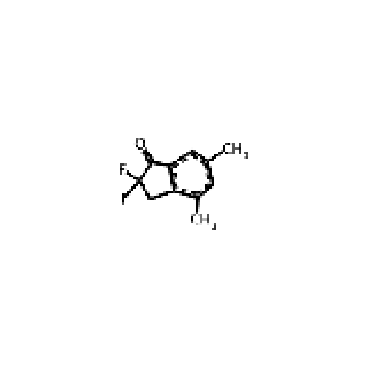 Cc1cc(C)c2c(c1)C(=O)C(F)(I)C2